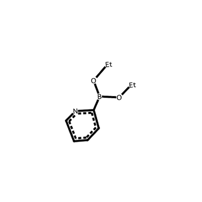 CCOB(OCC)c1ccccn1